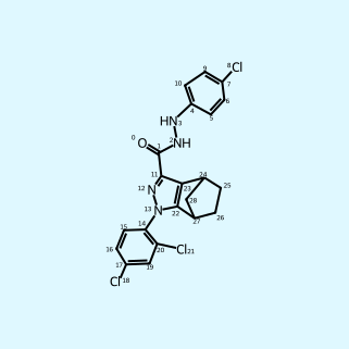 O=C(NNc1ccc(Cl)cc1)c1nn(-c2ccc(Cl)cc2Cl)c2c1C1CCC2C1